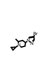 CC1CC(n2cc(Br)cn2)CCN1C1CC1